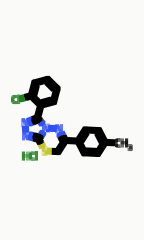 Cc1ccc(C2=Nn3c(nnc3-c3ccccc3Cl)SC2)cc1.Cl